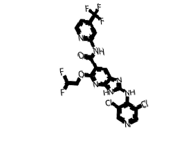 O=C(Nc1cc(C(F)(F)F)ccn1)c1cc2nc(Nc3c(Cl)cncc3Cl)[nH]c2nc1OCC(F)F